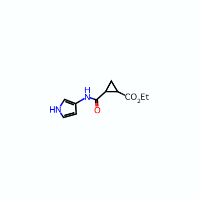 CCOC(=O)C1CC1C(=O)Nc1cc[nH]c1